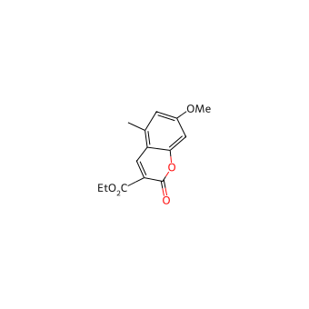 CCOC(=O)c1cc2c(C)cc(OC)cc2oc1=O